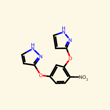 O=[N+]([O-])c1ccc(Oc2cc[nH]n2)cc1Oc1cc[nH]n1